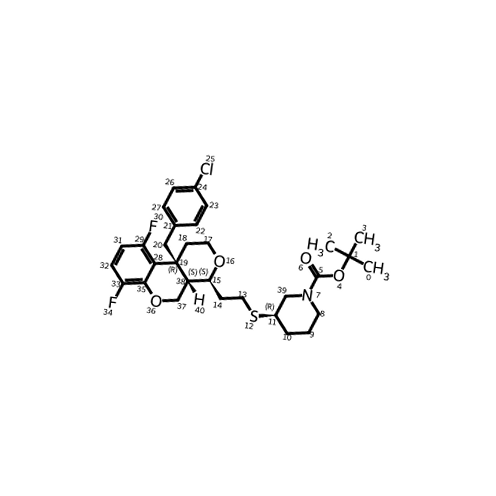 CC(C)(C)OC(=O)N1CCC[C@@H](SCC[C@@H]2OCC[C@@]3(Cc4ccc(Cl)cc4)c4c(F)ccc(F)c4OC[C@@H]23)C1